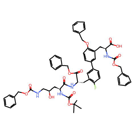 CC(C)(C)OC(=O)N[C@@H](C[C@@H](O)CNC(=O)OCc1ccccc1)C(=O)N[C@@H](Cc1cc(-c2ccc(OCc3ccccc3)c(C[C@H](NC(=O)OCc3ccccc3)C(=O)O)c2)ccc1F)C(=O)OCc1ccccc1